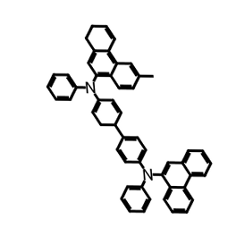 Cc1ccc2c(N(C3=CCC(c4ccc(N(c5ccccc5)c5cc6ccccc6c6ccccc56)cc4)C=C3)c3ccccc3)cc3c(c2c1)C=CCC3